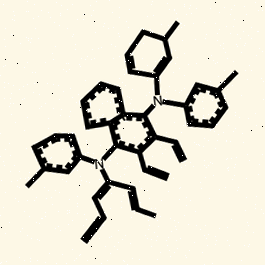 C=C/C=C(\C=C\C)N(c1cccc(C)c1)c1c(C=C)c(C=C)c(N(C2=CC(C)CC=C2)c2cccc(C)c2)c2ccccc12